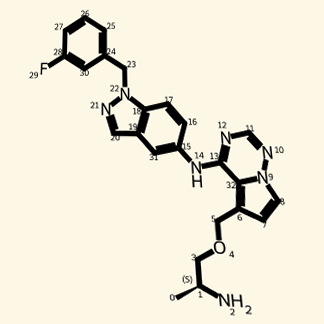 C[C@H](N)COCc1ccn2ncnc(Nc3ccc4c(cnn4Cc4cccc(F)c4)c3)c12